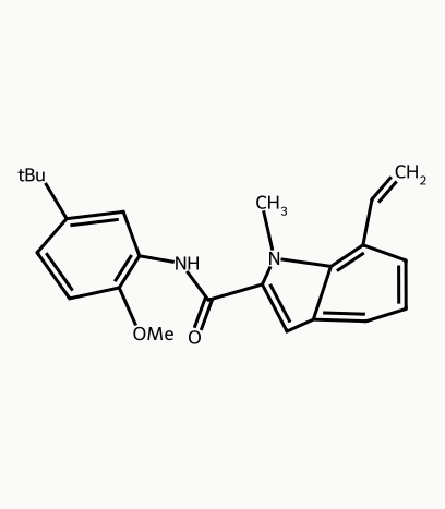 C=Cc1cccc2cc(C(=O)Nc3cc(C(C)(C)C)ccc3OC)n(C)c12